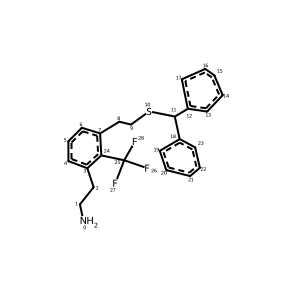 NCCc1cccc(CCSC(c2ccccc2)c2ccccc2)c1C(F)(F)F